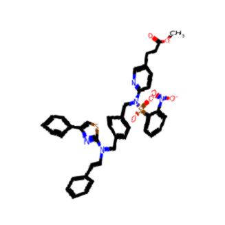 COC(=O)CCc1ccc(N(Cc2ccc(CN(CCc3ccccc3)c3nc(-c4ccccc4)cs3)cc2)S(=O)(=O)c2ccccc2[N+](=O)[O-])nc1